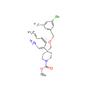 C=C/C=C\C(=C/N)C1(COCc2cc(Br)cc(C(F)(F)F)c2)CCN(C(=O)OC(C)(C)C)CC1